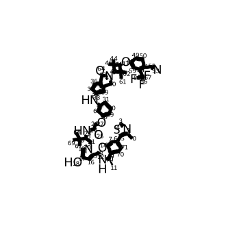 Cc1ncsc1-c1ccc([C@@H](C)NC(=O)c2cc(O)cn2CC(NC(=O)COc2cccc(Nc3ccc4c(c3)CN(C3C(C)(C)C(Oc5ccc(C#N)c(C(F)(F)F)c5)C3(C)C)C4=O)c2)C(C)(C)C)cc1